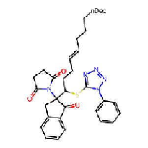 CCCCCCCCCCCCC/C=C/CCC(Sc1nnnn1-c1ccccc1)C1(N2C(=O)CCC2=O)Cc2ccccc2C1=O